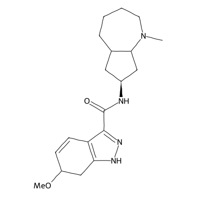 COC1C=Cc2c(C(=O)N[C@H]3CC4CCCCN(C)C4C3)n[nH]c2C1